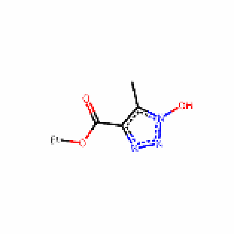 CCOC(=O)c1nnn(O)c1C